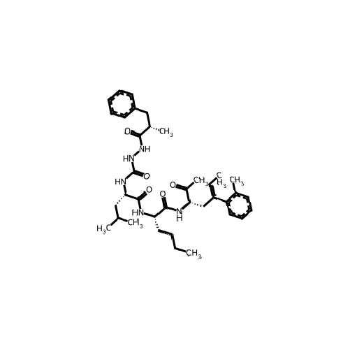 C/C=C(/C[C@H](NC(=O)[C@H](CCCC)NC(=O)[C@H](CC(C)C)NC(=O)NNC(=O)[C@@H](C)Cc1ccccc1)C(C)=O)c1ccccc1C